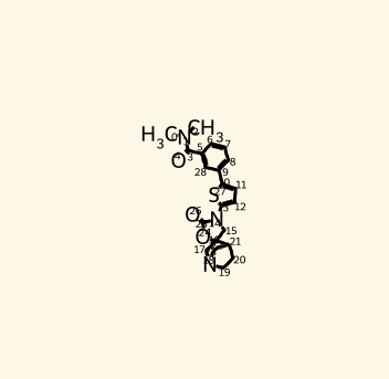 CN(C)C(=O)c1cccc(-c2ccc(N3CC4(CN5CCC4CC5)OC3=O)s2)c1